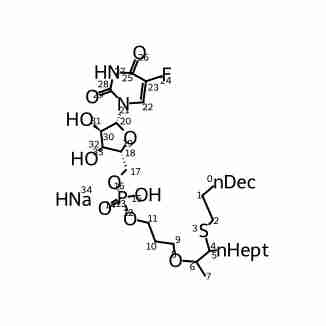 CCCCCCCCCCCCSC(CCCCCCC)C(C)OCCCOP(=O)(O)OC[C@H]1O[C@@H](n2cc(F)c(=O)[nH]c2=O)[C@H](O)[C@@H]1O.[NaH]